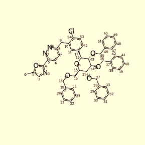 Cc1cnc(-c2ccc(Cc3cc([C@@H]4O[C@H](COCc5ccccc5)[C@@H](OCc5ccccc5)[C@H](OCc5ccccc5)[C@H]4OCc4ccccc4)ccc3Cl)nn2)o1